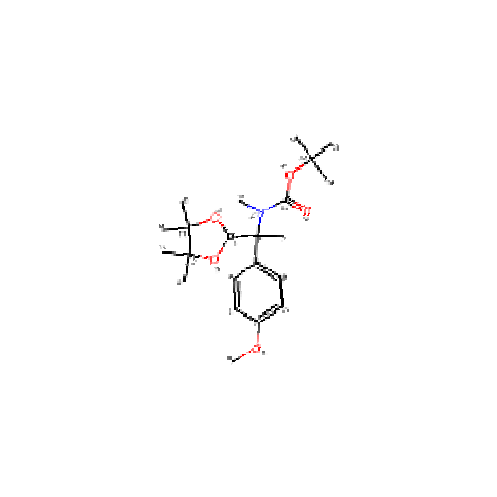 COc1ccc(C(C)(B2OC(C)(C)C(C)(C)O2)N(C)C(=O)OC(C)(C)C)cc1